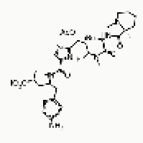 CC[C@H](C)[C@H](NC(=O)[C@]1(C)CCCCN1C)C(=O)N(C)[C@H](C[C@@H](OC(C)=O)c1nc(C(=O)N[C@@H](Cc2ccc(N)cc2)C[C@H](C)C(=O)O)cs1)C(C)C